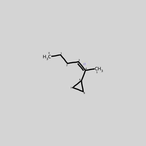 CCC/C=C(/C)C1CC1